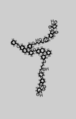 O=C1CCC(N2Cc3cc(N4CCN(CC(O)CCCOc5ccc([C@@H]6c7ccc(OCc8ccccc8)cc7CC[C@@H]6c6cccc(Oc7ccc8c(c7)CC[C@H](c7ccccc7)[C@@H]8c7ccc(OCCCC(O)CN8CCN(c9ccc%10c(c9)CN(C9CCC(=O)NC9=O)C%10=O)CC8)cc7)c6)cc5)CC4)ccc3C2=O)C(=O)N1